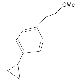 COCCc1ccc(C2CC2)cc1